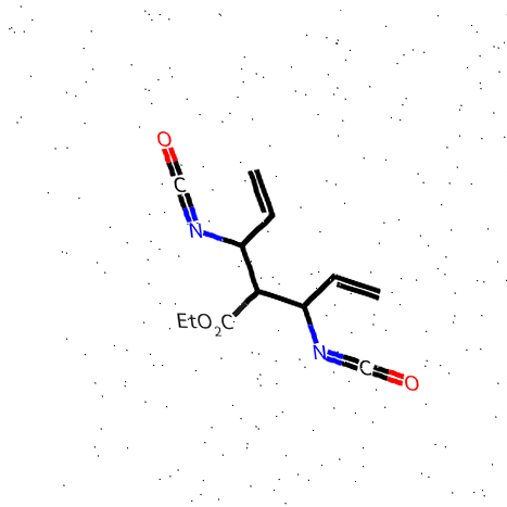 C=CC(N=C=O)C(C(=O)OCC)C(C=C)N=C=O